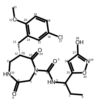 CCC(NC(=O)N1CC(=O)NC[C@H](Cc2cc(Cl)ccc2OC)C1=O)c1cc(O)no1